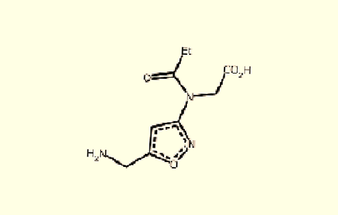 CCC(=O)N(CC(=O)O)c1cc(CN)on1